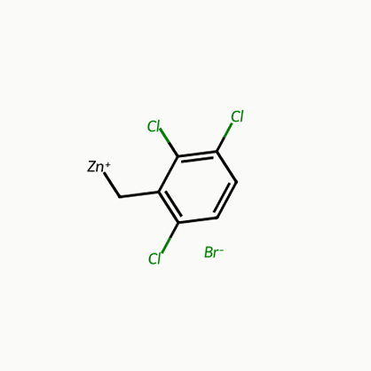 Clc1ccc(Cl)c([CH2][Zn+])c1Cl.[Br-]